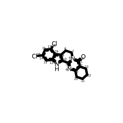 O=c1c2c(nc3n1CCc1c-3[nH]c3cc(Cl)cc(Cl)c13)CCCC2